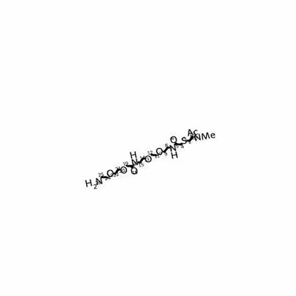 CN[C@@H](CSCC(=O)NCCOCCOCCNC(=O)COCCOCCN)C(C)=O